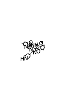 COc1ccccc1Oc1c(NS(=O)(=O)c2ccc(C)cn2)nc(C2=CC(C)NC=C2)nc1OC